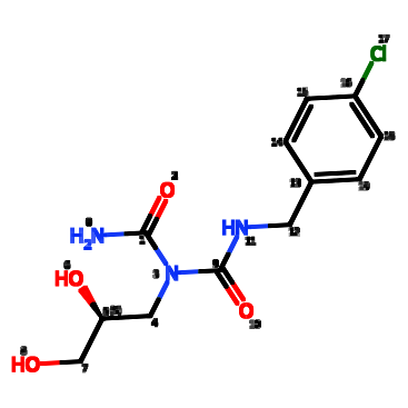 NC(=O)N(C[C@H](O)CO)C(=O)NCc1ccc(Cl)cc1